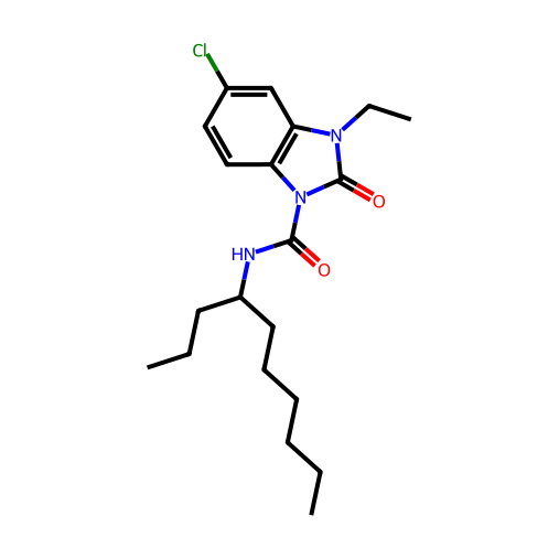 CCCCCCC(CCC)NC(=O)n1c(=O)n(CC)c2cc(Cl)ccc21